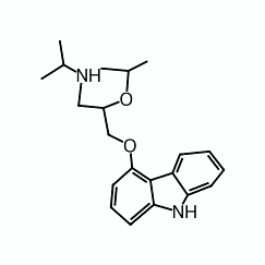 CC(C)NCC(COc1cccc2[nH]c3ccccc3c12)OC(C)C